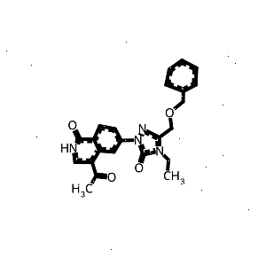 CCn1c(COCc2ccccc2)nn(-c2ccc3c(=O)[nH]cc(C(C)=O)c3c2)c1=O